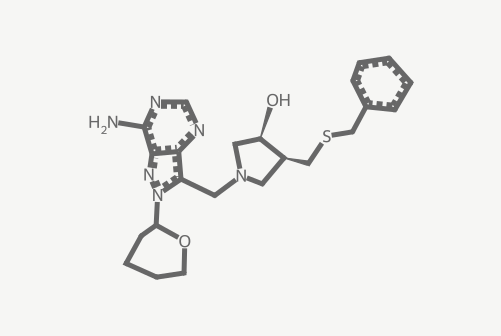 Nc1ncnc2c(CN3C[C@H](CSCc4ccccc4)[C@H](O)C3)n(C3CCCCO3)nc12